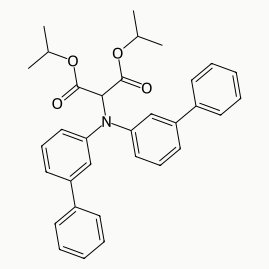 CC(C)OC(=O)C(C(=O)OC(C)C)N(c1cccc(-c2ccccc2)c1)c1cccc(-c2ccccc2)c1